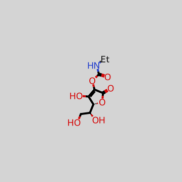 CCNC(=O)OC1=C(O)[C@@H]([C@@H](O)CO)OC1=O